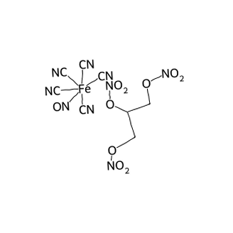 N#[C][Fe]([C]#N)([C]#N)([C]#N)([C]#N)[N]=O.O=[N+]([O-])OCC(CO[N+](=O)[O-])O[N+](=O)[O-]